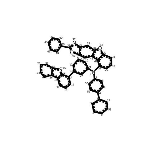 c1ccc(-c2ccc(N(c3cccc(-c4cccc5c4sc4ccccc45)c3)c3cccc4oc5cc6nc(-c7ccccc7)oc6cc5c34)cc2)cc1